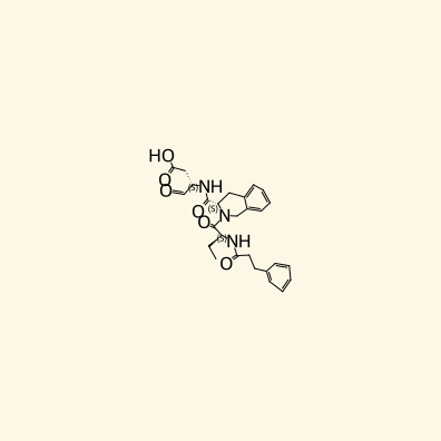 CC[C@H](NC(=O)CCc1ccccc1)C(=O)N1Cc2ccccc2C[C@H]1C(=O)N[C@H](C=O)CC(=O)O